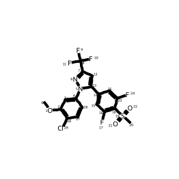 COc1cc(-n2nc(C(F)(F)F)cc2-c2cc(F)c(S(C)(=O)=O)c(F)c2)ccc1Cl